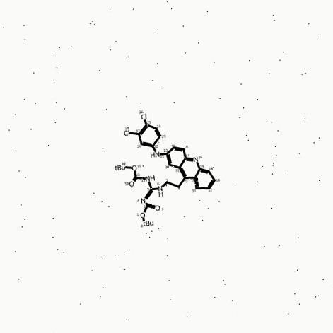 CC(C)(C)OC(=O)/N=C(\NCCc1c2ccccc2nc2ccc(Nc3ccc(Cl)c(Cl)c3)cc12)NC(=O)OC(C)(C)C